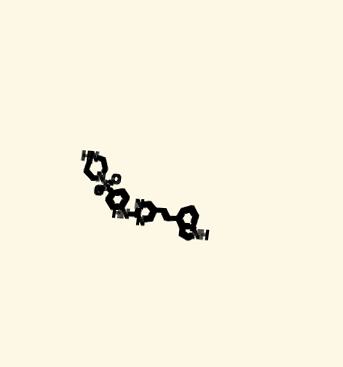 O=S(=O)(c1ccc(Nc2ncc(C=Cc3cccc4[nH]ccc34)cn2)cc1)N1CCCNCC1